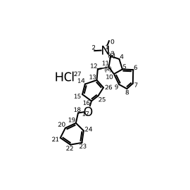 CN(C)[C@H]1Cc2ccccc2[C@H]1Cc1ccc(OCc2ccccc2)cc1.Cl